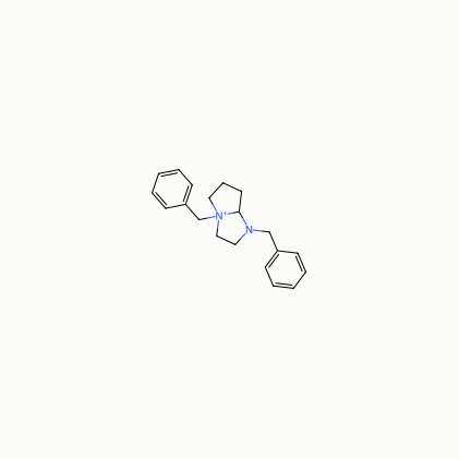 c1ccc(CN2CC[N+]3(Cc4ccccc4)CCCC23)cc1